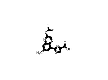 Cc1cc(-c2nc(C(=O)O)cs2)c2ncc(OC(F)F)nc2c1